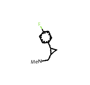 CNCC1CC1c1ccc(F)cc1